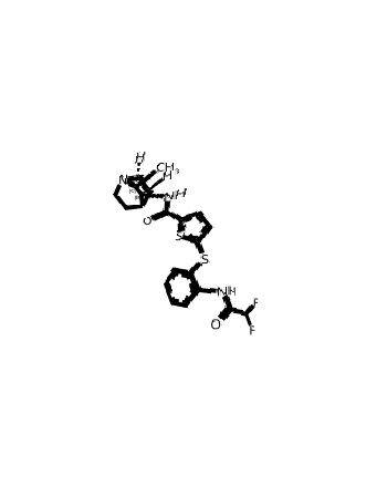 C[C@H]1[C@H](NC(=O)c2ccc(Sc3ccccc3NC(=O)C(F)F)s2)C2CCN1CC2